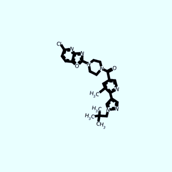 Cc1cc(C(=O)N2CCN(c3nc4nc(Cl)ccc4o3)CC2)cnc1-c1cnn(CC(C)(C)C)c1